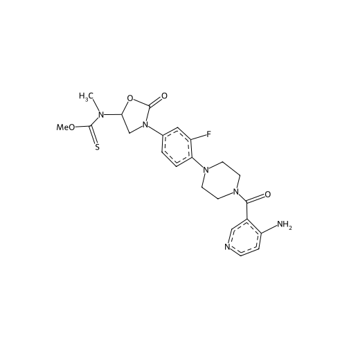 COC(=S)N(C)C1CN(c2ccc(N3CCN(C(=O)c4cnccc4N)CC3)c(F)c2)C(=O)O1